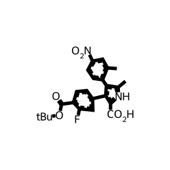 Cc1cc([N+](=O)[O-])ccc1-c1c(C)[nH]c(C(=O)O)c1-c1ccc(C(=O)OC(C)(C)C)c(F)c1